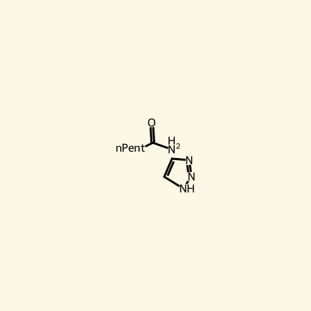 CCCCCC(N)=O.c1c[nH]nn1